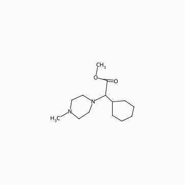 COC(=O)C(C1CCCCC1)N1CCN(C)CC1